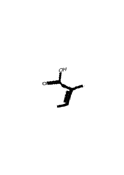 [CH2]/C(=C/C)C(=O)O